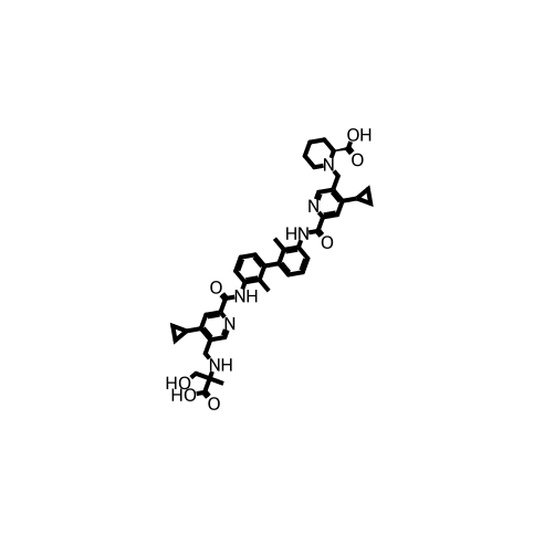 Cc1c(NC(=O)c2cc(C3CC3)c(CNC(C)(CO)C(=O)O)cn2)cccc1-c1cccc(NC(=O)c2cc(C3CC3)c(CN3CCCC[C@H]3C(=O)O)cn2)c1C